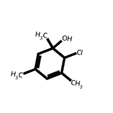 CC1=CC(C)(O)C(Cl)C(C)=C1